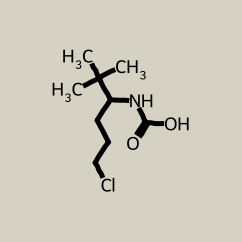 CC(C)(C)C(CCCCl)NC(=O)O